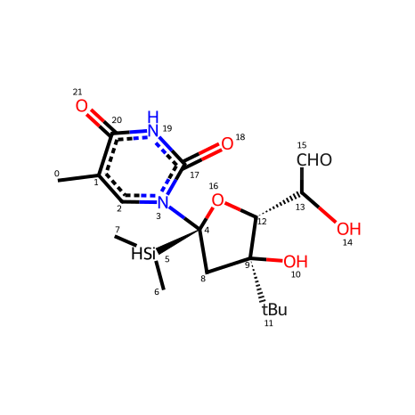 Cc1cn([C@@]2([SiH](C)C)C[C@@](O)(C(C)(C)C)[C@@H](C(O)C=O)O2)c(=O)[nH]c1=O